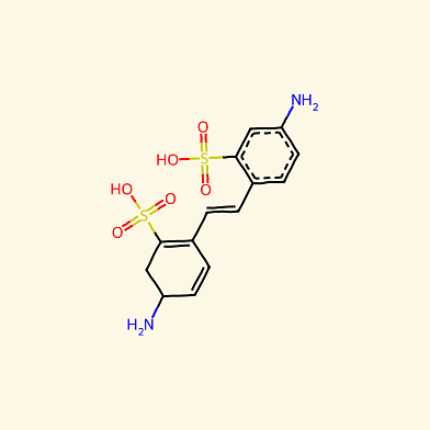 Nc1ccc(/C=C/C2=C(S(=O)(=O)O)CC(N)C=C2)c(S(=O)(=O)O)c1